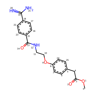 COC(=O)Cc1ccc(OCCNC(=O)c2ccc(C(=N)N)cc2)cc1